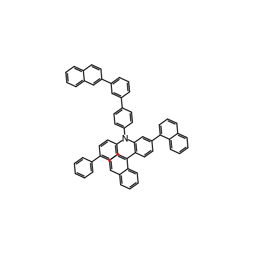 c1ccc(-c2ccc(N(c3ccc(-c4cccc(-c5ccc6ccccc6c5)c4)cc3)c3cc(-c4cccc5ccccc45)ccc3-c3cccc4ccccc34)cc2)cc1